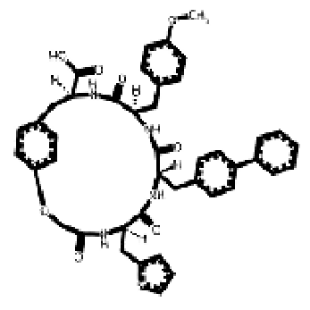 COc1ccc(C[C@H]2NC(=O)[C@H](Cc3ccc(-c4ccccc4)cc3)NC(=O)[C@@H](Cc3cccs3)NC(=O)COc3ccc(cc3)C[C@@H](C(=O)O)NC2=O)cc1